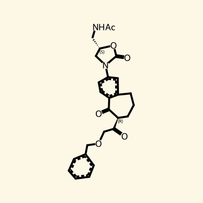 CC(=O)NC[C@H]1CN(c2ccc3c(c2)CCC[C@@H](C(=O)COCc2ccccc2)C3=O)C(=O)O1